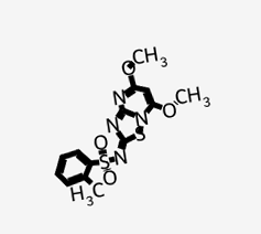 COc1cc(OC)n2sc(=NS(=O)(=O)c3ccccc3C)nc2n1